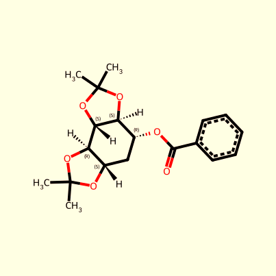 CC1(C)O[C@@H]2[C@@H](O1)[C@H](OC(=O)c1ccccc1)C[C@@H]1OC(C)(C)O[C@@H]21